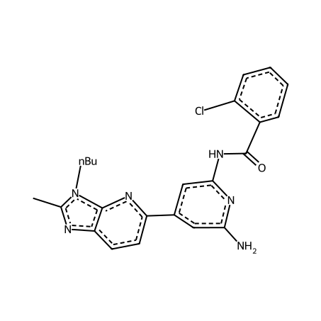 CCCCn1c(C)nc2ccc(-c3cc(N)nc(NC(=O)c4ccccc4Cl)c3)nc21